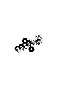 C[C@H](Nc1ncnc2scnc12)c1cc2cccc(-c3cnc4c(c3)CCCO4)c2c(=O)n1-c1ccccc1